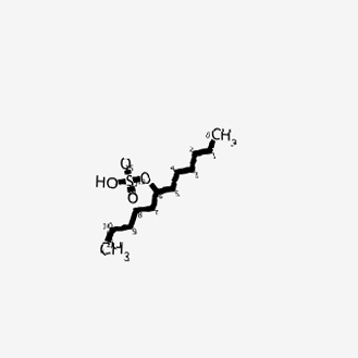 CCCCCCC(CCCCC)OS(=O)(=O)O